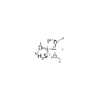 COC([SiH3])(I)C(C)(OC)OC